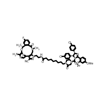 COc1ccc(C2=N[C@H](c3ccc(Cl)cc3)[C@H](c3ccc(Cl)cc3)N2C(=O)N2CCN(CCCCCCCCC(=O)NCCn3nc(C#N)c4c3CN(C)C(=O)c3ccc(F)cc3[C@@H](C)Oc3nc-4cnc3N)C(=O)C2)c(OC(C)C)c1